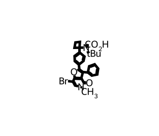 Cn1cc(Br)c2oc(-c3ccc(C4(N(C(=O)O)C(C)(C)C)CCC4)cc3)c(-c3ccccc3)c2c1=O